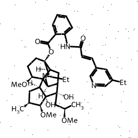 CCc1cncc(/C=C/C(=O)Nc2ccccc2C(=O)O[C@@]23CC[C@H](OC)C45[C@H](C(C[C@@H]42)[C@@](O)(C[C@@H](C)OC)[C@@]2(O)[C@@H](OC)[C@@H](C)C[C@@H]52)N(CC)C3)c1